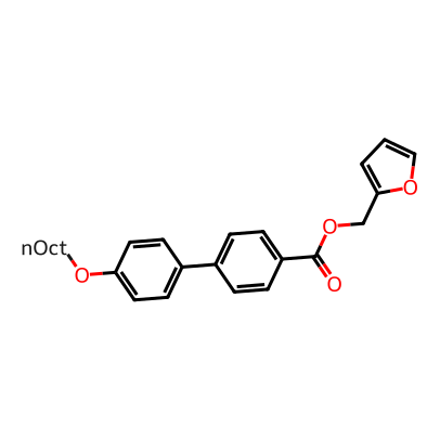 CCCCCCCCOc1ccc(-c2ccc(C(=O)OCc3ccco3)cc2)cc1